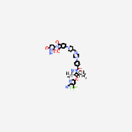 CC1(C)[C@H](NC(=O)c2ccc(N3CCN(CC4CCN(c5ccc6c(c5)C(=O)N(C5CCC(=O)NC5=O)C6=O)CC4)CC3)cc2)C(C)(C)[C@H]1Oc1cnc(C#N)c(C(F)(F)F)c1